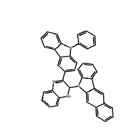 c1ccc(-n2c3ccccc3c3cc(C4=Nc5ccccc5NC4n4c5ccccc5c5cc6ccccc6cc54)ccc32)cc1